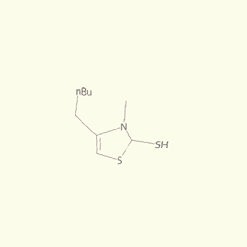 CCCCCC1=CSC(S)N1C